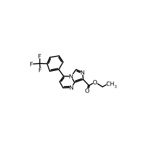 CCOC(=O)c1ncn2c(-c3cccc(C(F)(F)F)c3)ccnc12